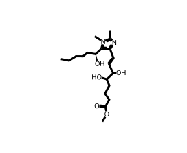 CCCCC[C@H](O)c1c(/C=C/C(O)C(O)CCCC(=O)OC)nc(C)n1C